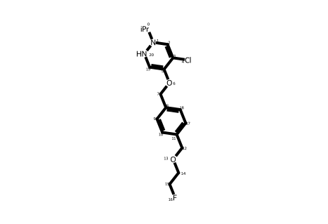 CC(C)N1C=C(Cl)C(OCc2ccc(COCCF)cc2)=CN1